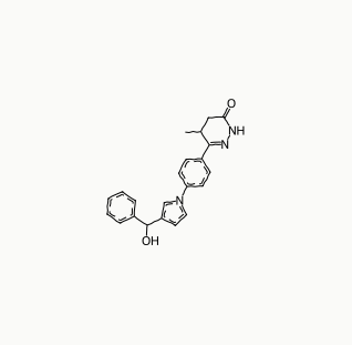 CC1CC(=O)NN=C1c1ccc(-n2ccc(C(O)c3ccccc3)c2)cc1